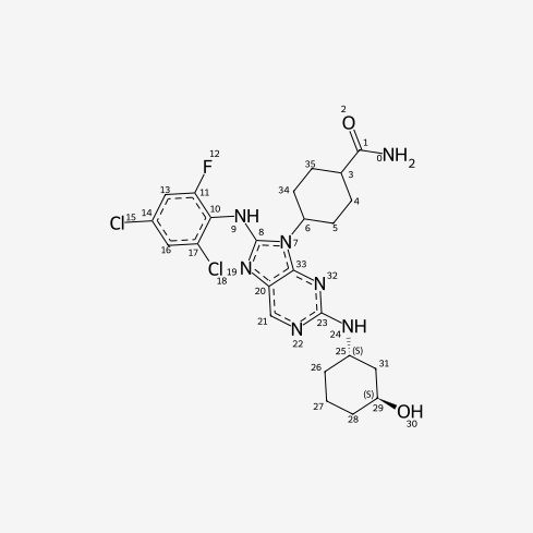 NC(=O)C1CCC(n2c(Nc3c(F)cc(Cl)cc3Cl)nc3cnc(N[C@H]4CCC[C@H](O)C4)nc32)CC1